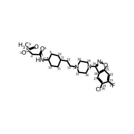 CS(=O)(=O)CC(=O)NC1CCC(CCN2CCN(c3noc4cc(F)c(Cl)cc34)CC2)CC1